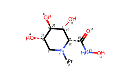 CC(C)N1C[C@H](O)[C@@H](O)[C@H](O)[C@@H]1C(=O)NO